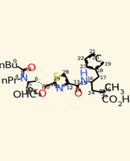 CCCCC(=O)N(CCC)C(C[C@@H](OC=O)c1nc(C(=O)NC(Cc2ccccc2)C[C@H](C)C(=O)O)cs1)C(C)C